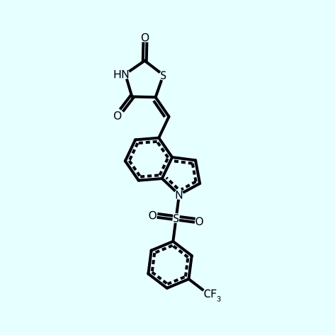 O=C1NC(=O)C(=Cc2cccc3c2ccn3S(=O)(=O)c2cccc(C(F)(F)F)c2)S1